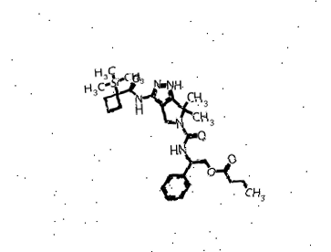 CCCC(=O)OCC(NC(=O)N1Cc2c(NC(=O)C3([Si](C)(C)C)CCC3)n[nH]c2C1(C)C)c1ccccc1